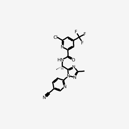 Cc1nc([C@H](C)NC(=O)c2cc(C(F)(F)F)cc(Cl)n2)n(-c2ccc(C#N)cn2)n1